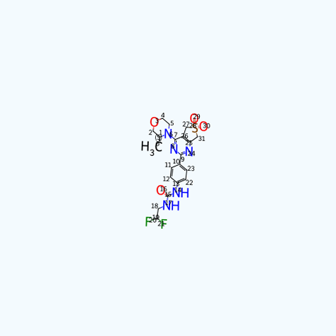 C[C@H]1COCCN1c1nc(-c2ccc(NC(=O)NCC(F)F)cc2)nc2c1CS(=O)(=O)C2